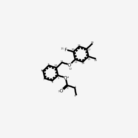 CCC(=O)Oc1ccccc1COc1cc(C)c(C)cc1F